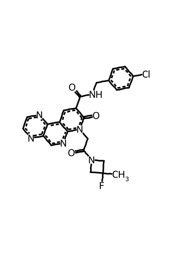 CC1(F)CN(C(=O)Cn2c(=O)c(C(=O)NCc3ccc(Cl)cc3)cc3c4nccnc4cnc32)C1